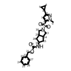 Cn1nc(C2CC2)cc1S(=O)(=O)N1CC2CC(NC(=O)OCc3ccccc3)CC2C1